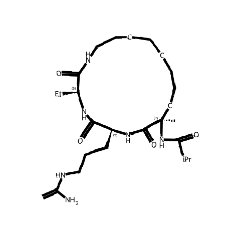 C=C(N)NCCC[C@@H]1NC(=O)[C@](C)(NC(=O)C(C)C)CCCCCCCCNC(=O)[C@H](CC)NC1=O